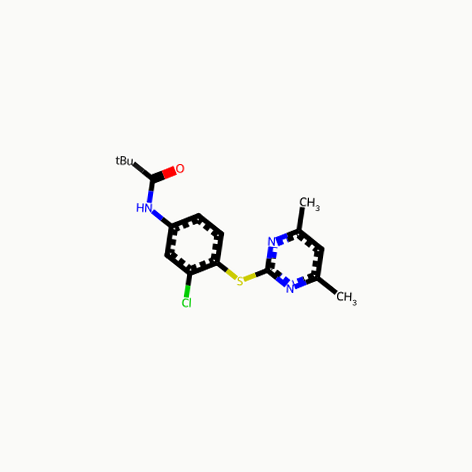 Cc1cc(C)nc(Sc2ccc(NC(=O)C(C)(C)C)cc2Cl)n1